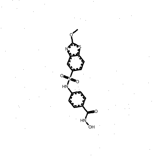 COc1nc2cc(S(=O)(=O)Nc3ccc(C(=O)NO)cc3)ccc2s1